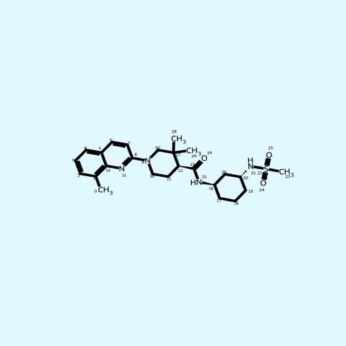 Cc1cccc2ccc(N3CC[C@H](C(=O)N[C@@H]4CCC[C@@H](NS(C)(=O)=O)C4)C(C)(C)C3)nc12